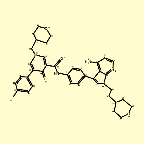 Nc1ncnc2c1c(-c1ccc(NC(=O)c3cn(CC4CCOCC4)cc(-c4ccc(F)cc4)c3=O)cc1)cn2CCN1CCOCC1